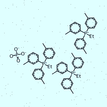 CC[P+](c1cccc(C)c1)(c1cccc(C)c1)c1cccc(C)c1.CC[P+](c1cccc(C)c1)(c1cccc(C)c1)c1cccc(C)c1.CC[P+](c1cccc(C)c1)(c1cccc(C)c1)c1cccc(C)c1.O=P([O-])([O-])[O-]